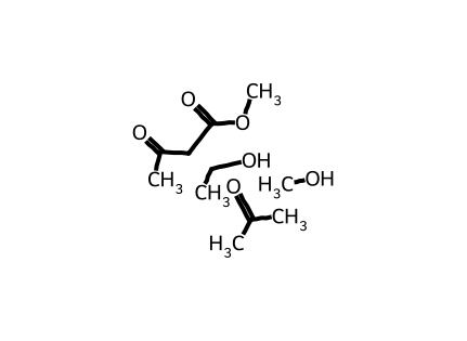 CC(C)=O.CCO.CO.COC(=O)CC(C)=O